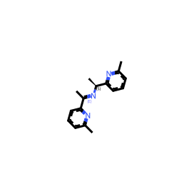 C/C(=N\[C@@H](C)c1cccc(C)n1)c1cccc(C)n1